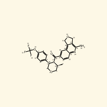 C[C@H]1COC[C@@H](c2ccc(OC(F)(F)F)cc2)N1C(=O)c1ccc2nc(N)c3c(c2c1)COC3